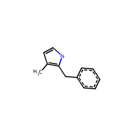 CC1=C(Cc2ccccc2)[N]C=C1